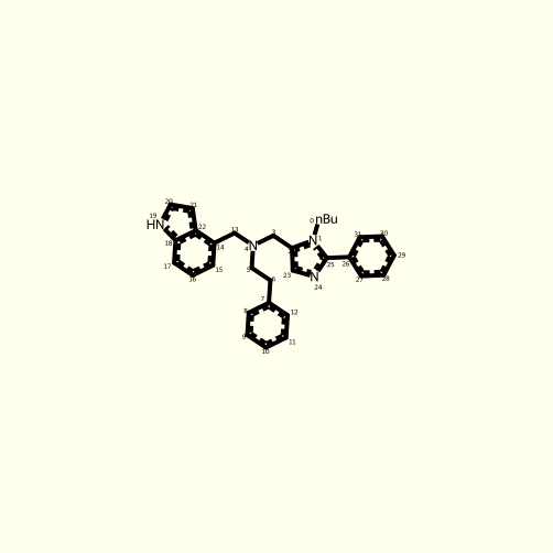 CCCCn1c(CN(CCc2ccccc2)Cc2cccc3[nH]ccc23)cnc1-c1ccccc1